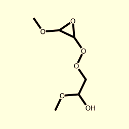 COC(O)COOC1OC1OC